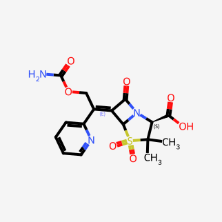 CC1(C)[C@H](C(=O)O)N2C(=O)/C(=C(\COC(N)=O)c3ccccn3)C2S1(=O)=O